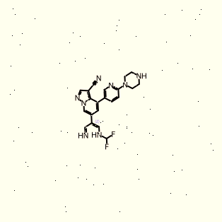 N#Cc1cnn2cc(/C(C=N)=C/NC(F)F)cc(-c3ccc(N4CCNCC4)nc3)c12